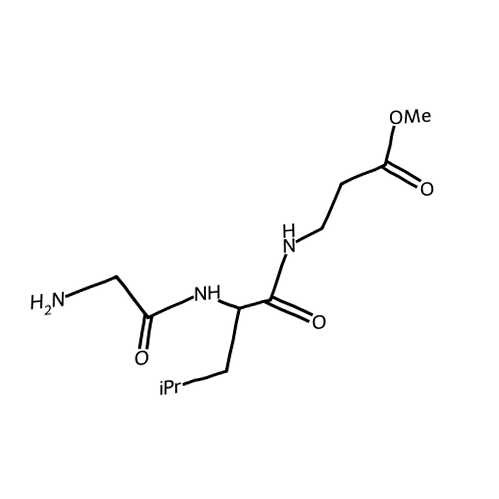 COC(=O)CCNC(=O)C(CC(C)C)NC(=O)CN